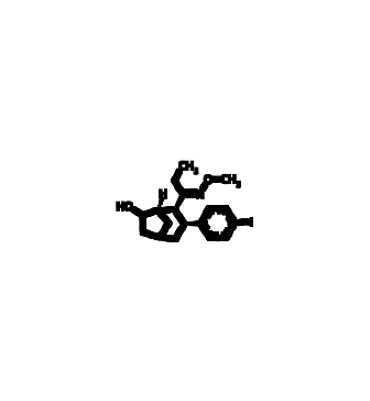 CCC(=NOC)[C@H]1[C@@H](c2ccc(I)cc2)CC2CC(O)[C@@H]1C2